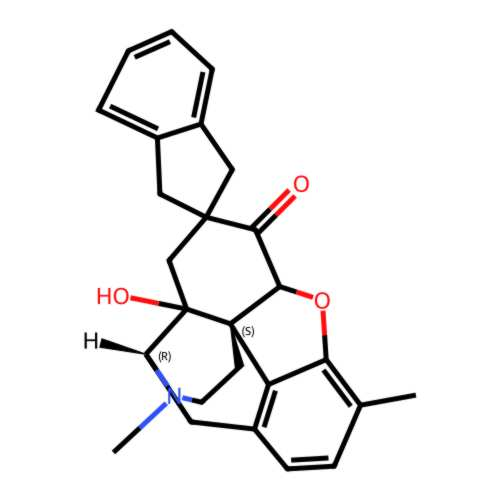 Cc1ccc2c3c1OC1C(=O)C4(Cc5ccccc5C4)CC4(O)[C@@H](C2)N(C)CC[C@]314